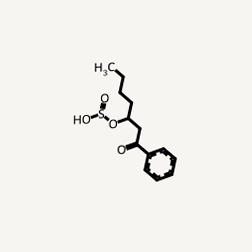 CCCCC(CC(=O)c1ccccc1)OS(=O)O